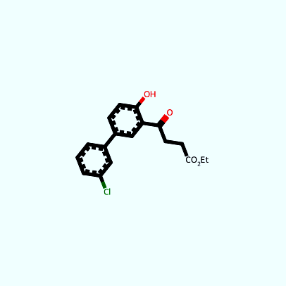 CCOC(=O)CCC(=O)c1cc(-c2cccc(Cl)c2)ccc1O